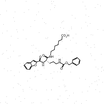 O=C(O)CCCCCCNC(=O)[C@H](CCCNC(=O)OCc1ccccc1)NC(=O)c1cc2ccccc2o1